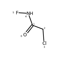 O=C(CCl)NF